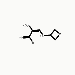 N=C(Br)/C(=C\NC1COC1)C(=O)O